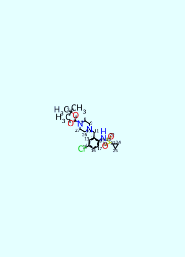 CC(C)(C)OC(=O)N1CCN(Cc2cc(Cl)ccc2NS(=O)(=O)C2CC2)CC1